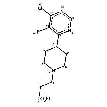 CCOC(=O)CCN1CCN(c2ncnc(Cl)c2F)CC1